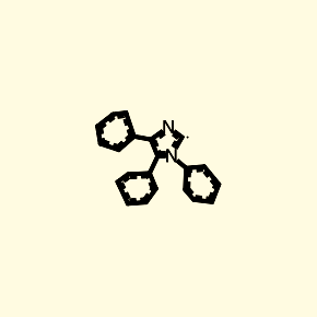 [c]1nc(-c2ccccc2)c(-c2ccccc2)n1-c1ccccc1